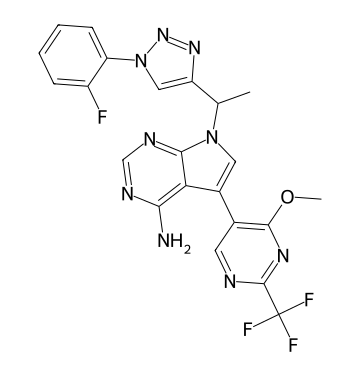 COc1nc(C(F)(F)F)ncc1-c1cn(C(C)c2cn(-c3ccccc3F)nn2)c2ncnc(N)c12